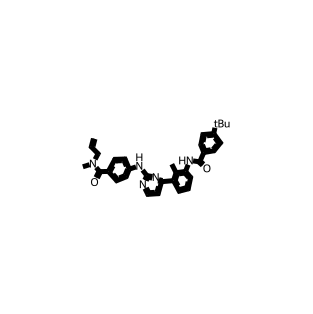 C=CCN(C)C(=O)c1ccc(Nc2nccc(-c3cccc(NC(=O)c4ccc(C(C)(C)C)cc4)c3C)n2)cc1